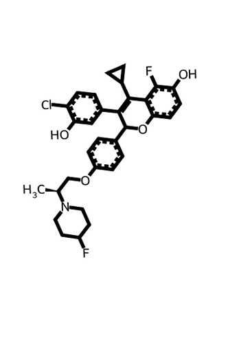 C[C@@H](COc1ccc(C2Oc3ccc(O)c(F)c3C(C3CC3)=C2c2ccc(Cl)c(O)c2)cc1)N1CCC(F)CC1